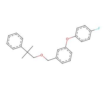 CC(C)(COCc1cccc(Oc2ccc(F)cc2)c1)c1ccccc1